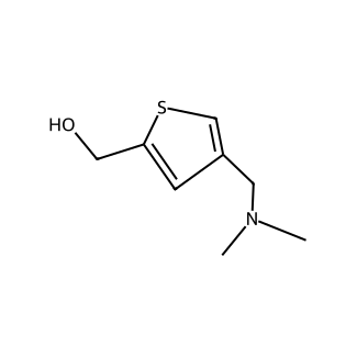 CN(C)Cc1csc(CO)c1